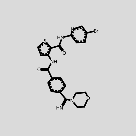 N=C(c1ccc(C(=O)Nc2ccsc2C(=O)Nc2ccc(Br)cn2)cc1)N1CCOCC1